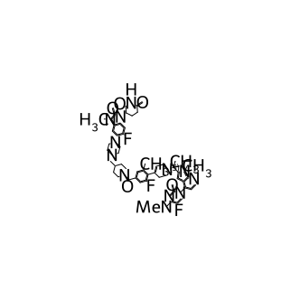 CNc1nc(=O)n(-c2ccnc3c2cc([C@H](C)N2CC=C(c4c(C)cc(C(=O)N5CCC(CN6CCN(c7cc8c(cc7F)n(C7CCC(=O)NC7=O)c(=O)n8C)CC6)CC5)cc4F)CC2)n3C)cc1F